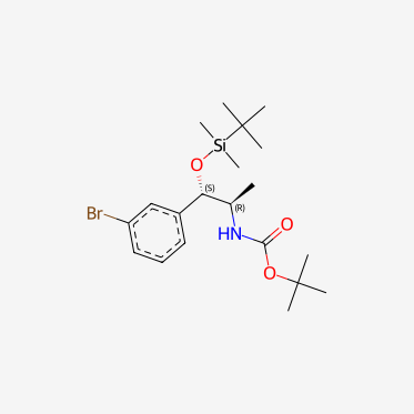 C[C@@H](NC(=O)OC(C)(C)C)[C@@H](O[Si](C)(C)C(C)(C)C)c1cccc(Br)c1